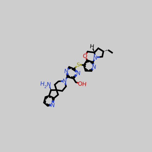 CC[C@H]1C[C@H]2COc3c(Sc4cnc(N5CCC6(CC5)Cc5ncccc5[C@H]6N)c(CO)n4)ccnc3N2C1